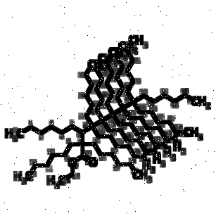 CCCCCCC(C(CCCCCC)(CCCCCC)C(=O)OCC)C(CCCCCC)(CCCCCC)C(CCCCCC)(CCCCCC)C(CCCCCC)(CCCCCC)C(CCCCCC)(CCCCCC)C(CCCCCC)(CCCCCC)CCCCCC